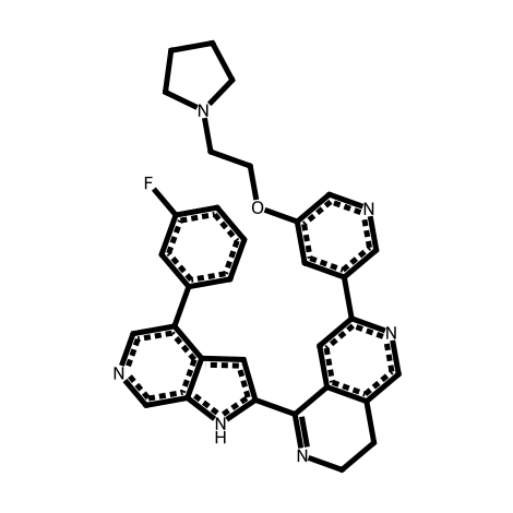 Fc1cccc(-c2cncc3[nH]c(C4=NCCc5cnc(-c6cncc(OCCN7CCCC7)c6)cc54)cc23)c1